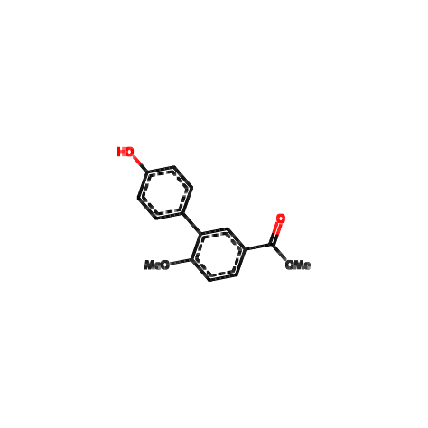 COC(=O)c1ccc(OC)c(-c2ccc(O)cc2)c1